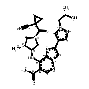 C[C@H](O)Cn1cc(-c2cn3ncc(C(N)=O)c(N[C@@H]4CN(C(=O)C5(C#N)CC5)C[C@H]4C)c3n2)cn1